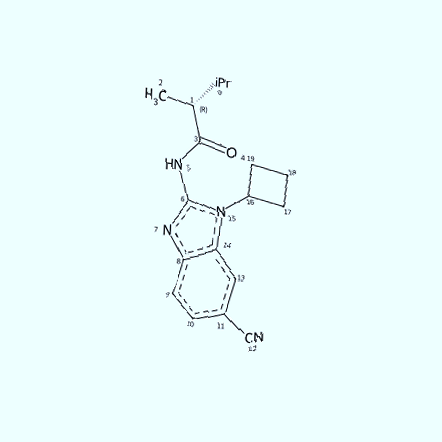 CC(C)[C@@H](C)C(=O)Nc1nc2ccc(C#N)cc2n1C1CCC1